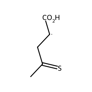 CC(=S)C[CH]C(=O)O